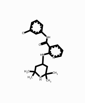 CC1(C)CC(Nc2ncccc2C(=O)Nc2cccc(Cl)c2)CC(C)(C)N1